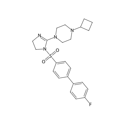 O=S(=O)(c1ccc(-c2ccc(F)cc2)cc1)N1CCN=C1N1CCN(C2CCC2)CC1